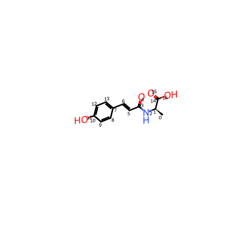 C[C@@H](NC(=O)C=Cc1ccc(O)cc1)C(=O)O